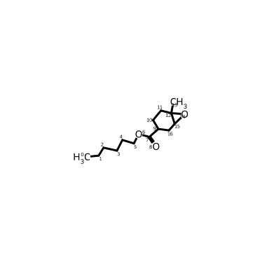 CCCCCCOC(=O)C1CCC2(C)OC2C1